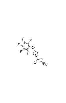 CC(C)(C)OC(=O)N1CC(Oc2c(F)c(F)c(F)c(F)c2F)C1